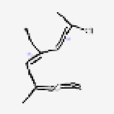 C=C=C(C)/C=C(C)\C=C(/C)Cl